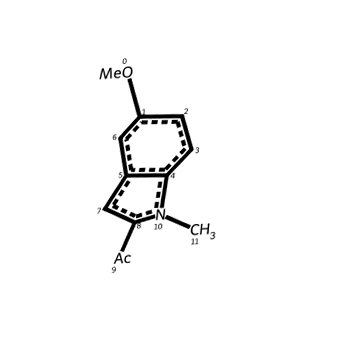 COc1ccc2c(c1)cc(C(C)=O)n2C